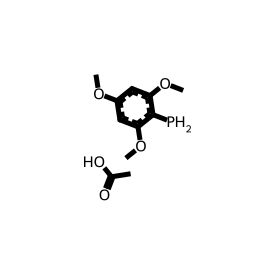 CC(=O)O.COc1cc(OC)c(P)c(OC)c1